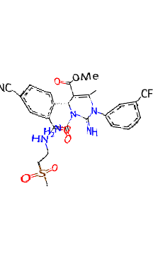 COC(=O)C1=C(C)N(c2cccc(C(F)(F)F)c2)C(=N)N(C(N)=O)[C@@H]1c1ccc(C#N)cc1C(=O)NCCS(C)(=O)=O